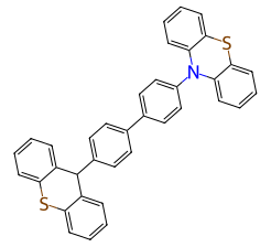 c1ccc2c(c1)Sc1ccccc1C2c1ccc(-c2ccc(N3c4ccccc4Sc4ccccc43)cc2)cc1